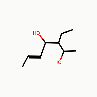 [CH2]C=CC(O)C(CC)C(C)O